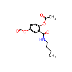 CCCCNC(=O)c1cc(OC=O)ccc1OC(C)=O